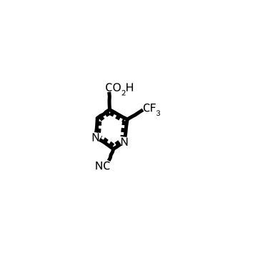 N#Cc1ncc(C(=O)O)c(C(F)(F)F)n1